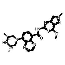 COc1nc(NC(=O)c2ccc(N3C[C@H](C)N[C@@H](C)C3)c3nccnc23)nc2cn(C)nc12